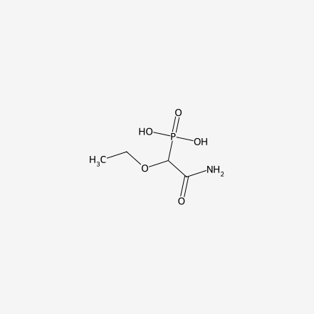 CCOC(C(N)=O)P(=O)(O)O